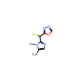 CCn1c([N+](=O)[O-])cnc1C(S)c1nnco1